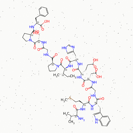 CC[C@H](C)[C@H](NC(=O)[C@H](Cc1c[nH]cn1)NC(=O)[C@H](CCC(=O)O)NC(=O)[C@H](CC(=O)O)NC(=O)CNC(=O)[C@H](Cc1c[nH]c2ccccc12)NC(=O)[C@H](CCSC)NC(=O)[C@@H](N)C(C)C)C(=O)N1CCC[C@H]1C(=O)NCC(=O)N[C@@H](CO)C(=O)N1CCC[C@H]1C(=O)N[C@@H](Cc1ccccc1)C(=O)O